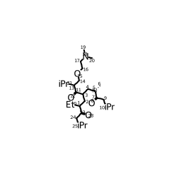 CCC(CC(C[C@H](C)C(=O)CC(C)C)C(=O)C(COCCN(C)C)C(C)C)C(=O)CC(C)C